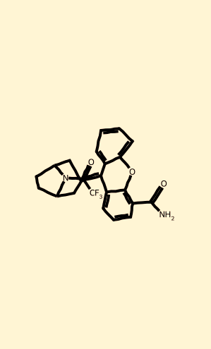 NC(=O)c1cccc2c1Oc1ccccc1C2=C1CC2CCC(C1)N2C(=O)C(F)(F)F